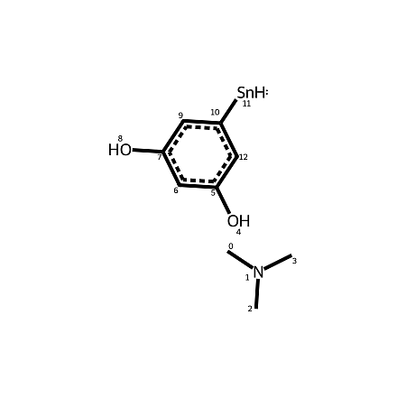 CN(C)C.Oc1cc(O)c[c]([SnH])c1